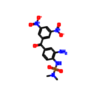 CN(C)S(=O)(=O)Nc1ccc(C(=O)c2cc([N+](=O)[O-])cc([N+](=O)[O-])c2)cc1N